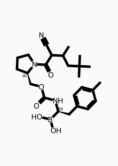 Cc1ccc(C[C@H](NC(=O)OC[C@H]2CCCN2C(=O)C(C#N)C(C)CC(C)(C)C)B(O)O)cc1